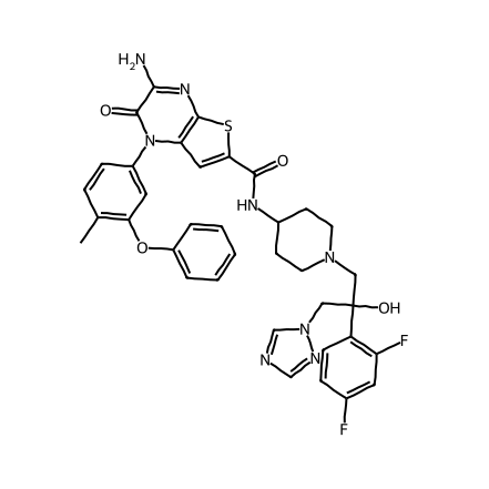 Cc1ccc(-n2c(=O)c(N)nc3sc(C(=O)NC4CCN(CC(O)(Cn5cncn5)c5ccc(F)cc5F)CC4)cc32)cc1Oc1ccccc1